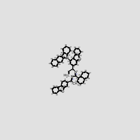 C=CC(/N=C(\N=C(/C)c1ccc2c(c1)oc1ccccc12)c1cccc2ccccc12)c1cc(-n2c3ccccc3c3cc4ccccc4cc32)c2c(c1)oc1ccccc12